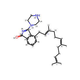 CC(C)=CCCC(C)=CCC/C(C)=C/Cc1cccc2c1C(N1CCNCC1)=NC2=O